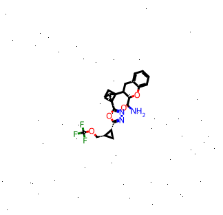 NC(=O)C1Oc2ccccc2CC1C12CC(C1)C2c1nnc([C@@H]2C[C@H]2COC(F)(F)F)o1